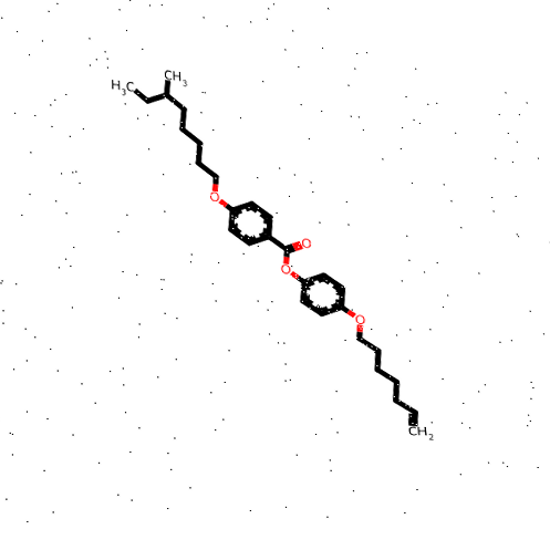 C=CCCCCCOc1ccc(OC(=O)c2ccc(OCCCCCC(C)CC)cc2)cc1